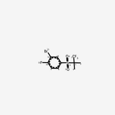 CC(C)(C(F)(F)F)S(=O)(=O)c1ccc(F)c(Br)c1